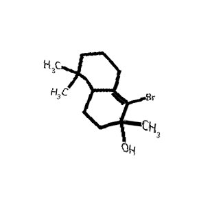 CC1(O)CCC2C(=C1Br)CCCC2(C)C